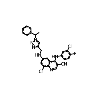 CC(c1ccccc1)n1cc(CNc2cc(Cl)c3ncc(C#N)c(Nc4ccc(F)c(Cl)c4)c3c2)nn1